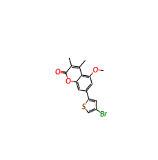 COc1cc(-c2cc(Br)cs2)cc2oc(=O)c(C)c(C)c12